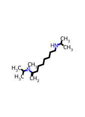 C=C(CCCCCCCNC(C)C)N(C)C(C)C